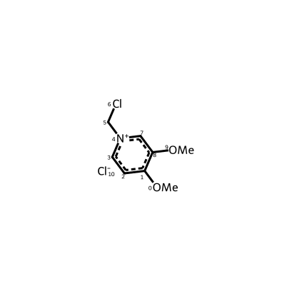 COc1cc[n+](CCl)cc1OC.[Cl-]